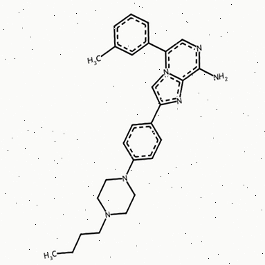 CCCCN1CCN(c2ccc(-c3cn4c(-c5cccc(C)c5)cnc(N)c4n3)cc2)CC1